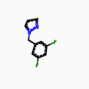 Fc1cc(F)cc(Cn2cccn2)c1